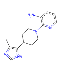 Cc1nc[nH]c1C1CCN(c2ncccc2N)CC1